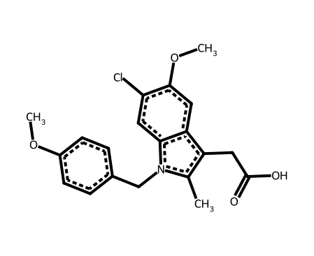 COc1ccc(Cn2c(C)c(CC(=O)O)c3cc(OC)c(Cl)cc32)cc1